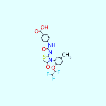 Cc1ccc(OC(F)C(F)F)c(N2C(=O)CSC2=NC(=O)Nc2ccc(C(=O)O)cc2)c1